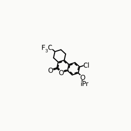 CC(C)Oc1cc2oc(=O)c3c(c2cc1Cl)CCC(C(F)(F)F)C3